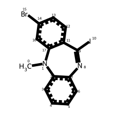 CN1c2ccccc2N=C(I)c2ccc(Br)cc21